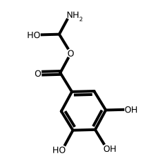 NC(O)OC(=O)c1cc(O)c(O)c(O)c1